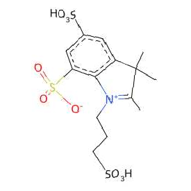 CC1=[N+](CCCS(=O)(=O)O)c2c(cc(S(=O)(=O)O)cc2S(=O)(=O)[O-])C1(C)C